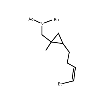 CC/C=C\CCC1CC1(C)CN(C(C)=O)C(C)(C)C